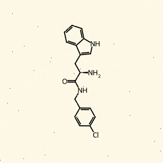 N[C@H](Cc1c[nH]c2ccccc12)C(=O)NCc1ccc(Cl)cc1